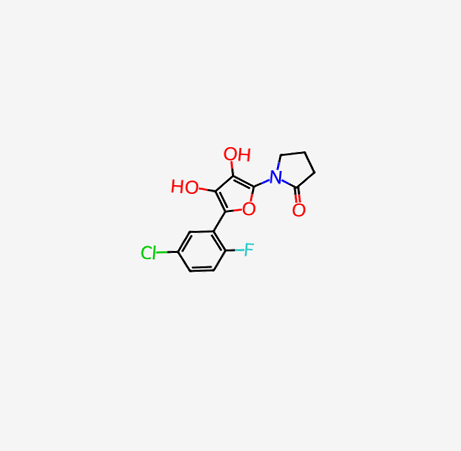 O=C1CCCN1c1oc(-c2cc(Cl)ccc2F)c(O)c1O